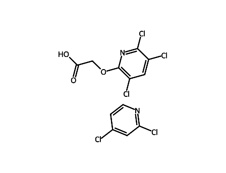 Clc1ccnc(Cl)c1.O=C(O)COc1nc(Cl)c(Cl)cc1Cl